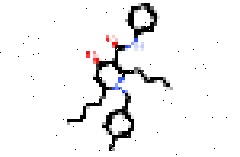 CCCCc1cc(=O)c(C(=O)Nc2ccccc2)c(CCCC)n1Cc1ccc(C)cc1